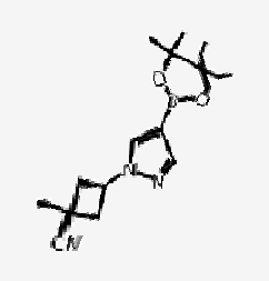 CC1(C#N)CC(n2cc(B3OC(C)(C)C(C)(C)O3)cn2)C1